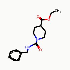 CCOC(=O)C1CCN(C(=O)NCc2ccccc2)CC1